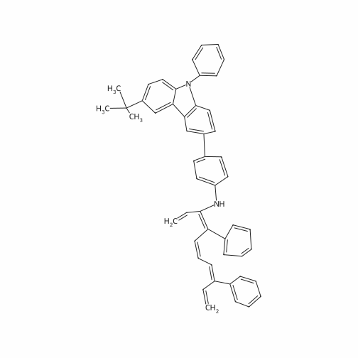 C=C\C(Nc1ccc(-c2ccc3c(c2)c2cc(C(C)(C)C)ccc2n3-c2ccccc2)cc1)=C(/C=C\C=C(/C=C)c1ccccc1)c1ccccc1